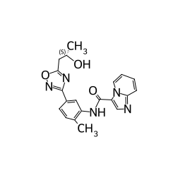 Cc1ccc(-c2noc(C[C@H](C)O)n2)cc1NC(=O)c1cnc2ccccn12